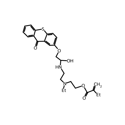 C=C(CC)C(=O)OCCN(CC)CCNC(O)COc1ccc2sc3ccccc3c(=O)c2c1